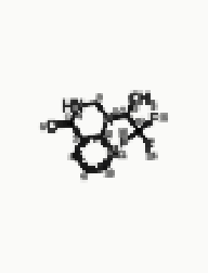 CC(N1CNC(=O)c2cccnc21)C(F)(F)F